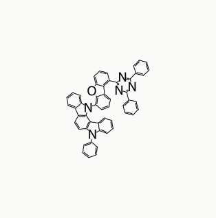 c1ccc(-c2nc(-c3ccccc3)nc(-c3cccc4oc5c(-n6c7ccccc7c7ccc8c(c9ccccc9n8-c8ccccc8)c76)cccc5c34)n2)cc1